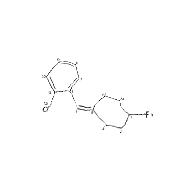 FC1CCC(=Cc2ccccc2Cl)CC1